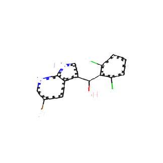 OC(c1c(Cl)cccc1Cl)c1c[nH]c2ncc(Br)cc12